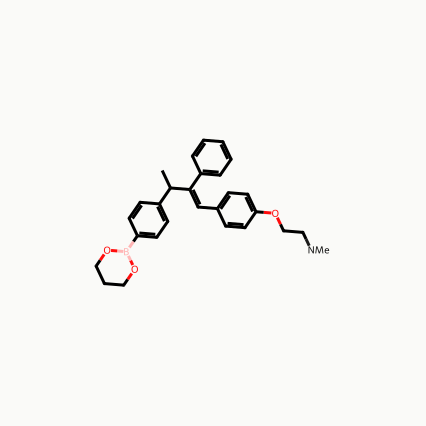 CNCCOc1ccc(/C=C(\c2ccccc2)C(C)c2ccc(B3OCCCO3)cc2)cc1